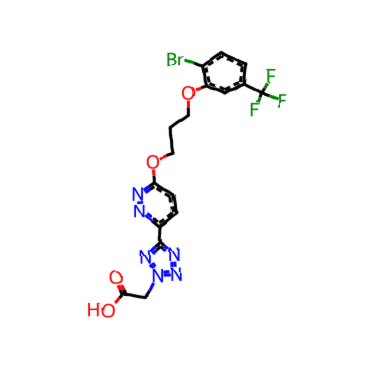 O=C(O)Cn1nnc(-c2ccc(OCCCOc3cc(C(F)(F)F)ccc3Br)nn2)n1